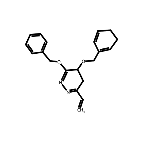 C=CC1=NN=C(OCc2ccccc2)C(OCC2=CCCC=C2)C1